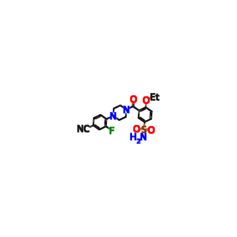 CCOc1ccc(S(N)(=O)=O)cc1C(=O)N1CCN(c2ccc(C#N)cc2F)CC1